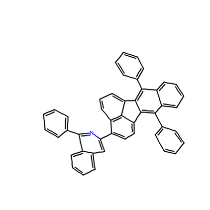 c1ccc(-c2nc(-c3ccc4c5c(cccc35)-c3c-4c(-c4ccccc4)c4ccccc4c3-c3ccccc3)cc3ccccc23)cc1